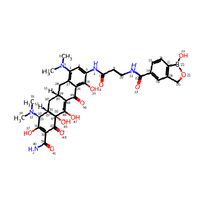 CN(C)c1cc(NC(=O)CCNC(=O)c2ccc3c(c2)COB3O)c(O)c2c1C[C@H]1C[C@H]3[C@H](N(C)C)C(O)=C(C(N)=O)C(=O)[C@@]3(O)C(O)=C1C2=O